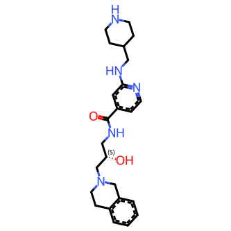 O=C(NC[C@H](O)CN1CCc2ccccc2C1)c1ccnc(NCC2CCNCC2)c1